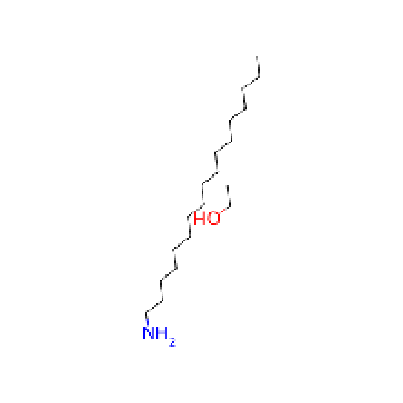 CCCCCCCCCCCCCCCCCN.CCO